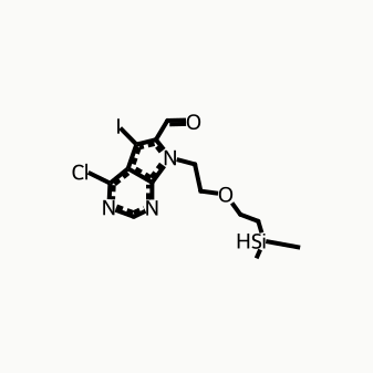 C[SiH](C)CCOCCn1c(C=O)c(I)c2c(Cl)ncnc21